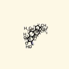 CC1=C2C[C@@H](C)[C@@H]3[C@H](CC[C@@]4(C)[C@H]3CC[C@]4(C)O)[C@@]2(C)C/C(=C/O)C1=O